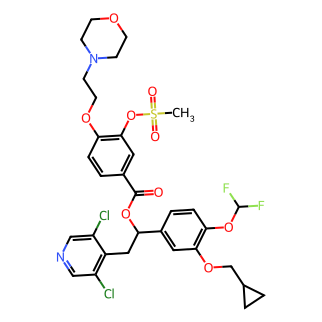 CS(=O)(=O)Oc1cc(C(=O)OC(Cc2c(Cl)cncc2Cl)c2ccc(OC(F)F)c(OCC3CC3)c2)ccc1OCCN1CCOCC1